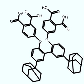 O=C(O)c1ccc(Oc2ccc(C34CC5CC(CC(C5)C3)C4)cc2-c2cc(C34CC5CC(CC(C5)C3)C4)ccc2Oc2ccc(C(=O)O)c(C(=O)O)c2)cc1C(=O)O